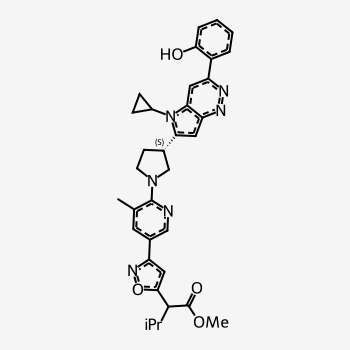 COC(=O)C(c1cc(-c2cnc(N3CC[C@H](c4cc5nnc(-c6ccccc6O)cc5n4C4CC4)C3)c(C)c2)no1)C(C)C